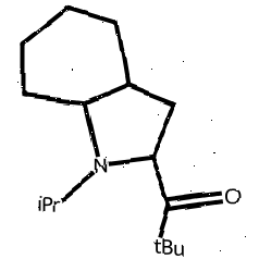 CC(C)N1C(C(=O)C(C)(C)C)CC2CCCCC21